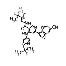 CC(C)(F)Cn1cc(Nc2cc(-c3cnc4cc(C#N)cnn34)ncc2C(=O)NC[C@@H](F)C(C)(C)F)cn1